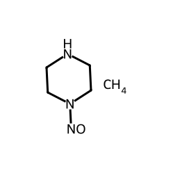 C.O=NN1CCNCC1